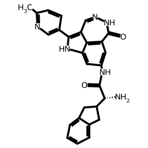 Cc1ccc(-c2[nH]c3cc(NC(=O)[C@H](N)C4Cc5ccccc5C4)cc4c3c2C=NNC4=O)cn1